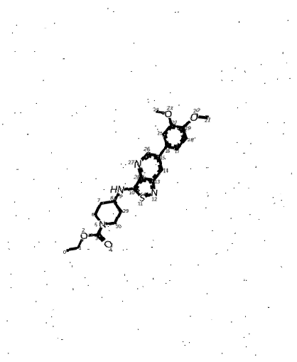 CCOC(=O)N1CCC(Nc2snc3cc(-c4ccc(OC)c(OC)c4)cnc23)CC1